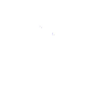 c1ccc(-c2cccc(-c3cc(-c4ccccc4)c4c(c3)c3ccccc3n4-c3cccnc3)c2)cc1